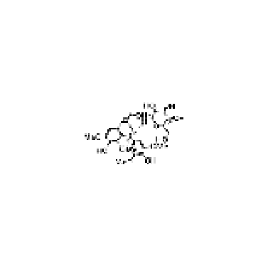 COc1cc([C@H]2c3c(cc(OC)c(O)c3OC)C[C@@H](CO)[C@@H]2CO[C@H]2OC(CO)[C@H](O)C(O)[C@H]2O)cc(OC)c1O